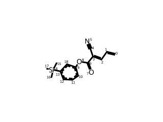 C=CC=C(C#N)C(=O)Oc1cccc([Si](C)(C)C)c1